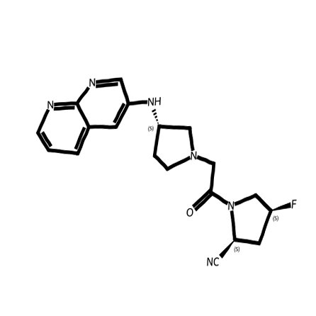 N#C[C@@H]1C[C@H](F)CN1C(=O)CN1CC[C@H](Nc2cnc3ncccc3c2)C1